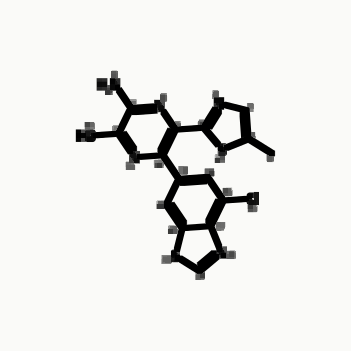 Cc1cnc(-c2nc(N)c(O)nc2-c2cc(Cl)c3ncsc3c2)s1